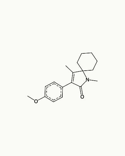 COc1ccc(C2=C(C)C3(CCCCC3)N(C)C2=O)cc1